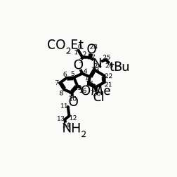 CCOC(=O)CC1OC(c2cccc(OCCCN)c2OC)c2cc(Cl)ccc2N(CC(C)(C)C)C1=O